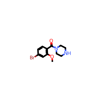 COc1cc(Br)ccc1C(=O)N1CCNCC1